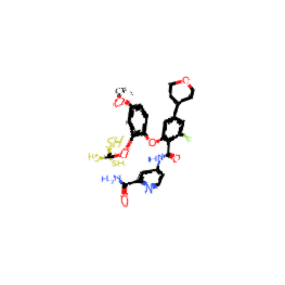 NC(=O)c1cc(NC(=O)c2c(F)cc(C3CCOCC3)cc2Oc2ccc(OC(F)(F)F)cc2OC(S)(S)S)ccn1